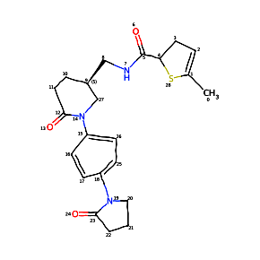 CC1=CCC(C(=O)NC[C@@H]2CCC(=O)N(c3ccc(N4CCCC4=O)cc3)C2)S1